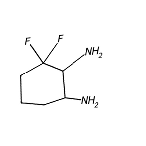 NC1CCCC(F)(F)C1N